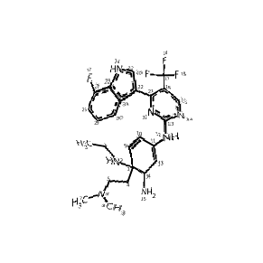 CCNC1(CCN(C)C)C=CC(Nc2ncc(C(F)(F)F)c(-c3c[nH]c4c(F)cccc34)n2)=CC1N